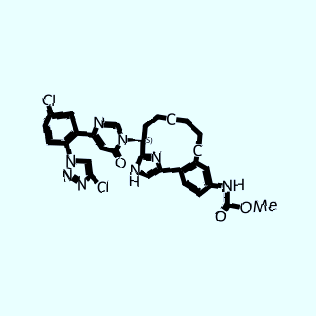 COC(=O)Nc1ccc2c(c1)CCCCCC[C@H](n1cnc(-c3cc(Cl)ccc3-n3cc(Cl)nn3)cc1=O)c1nc-2c[nH]1